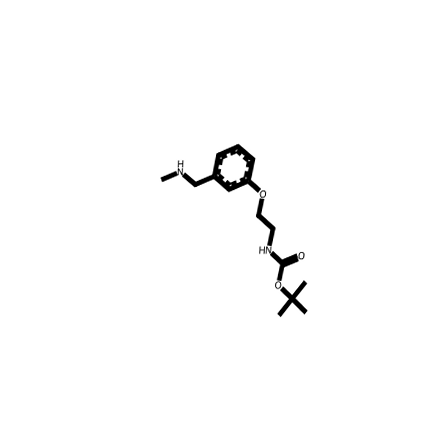 CNCc1cccc(OCCNC(=O)OC(C)(C)C)c1